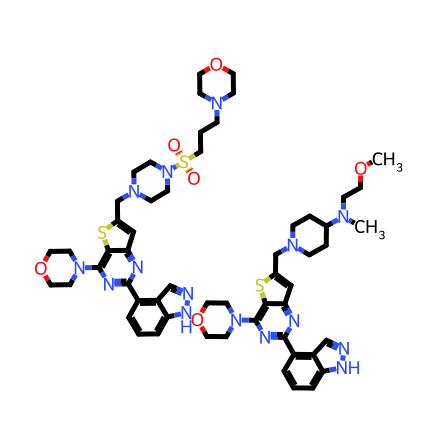 COCCN(C)C1CCN(Cc2cc3nc(-c4cccc5[nH]ncc45)nc(N4CCOCC4)c3s2)CC1.O=S(=O)(CCCN1CCOCC1)N1CCN(Cc2cc3nc(-c4cccc5[nH]ncc45)nc(N4CCOCC4)c3s2)CC1